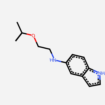 CC(C)OCCNc1ccc2[nH]ccc2c1